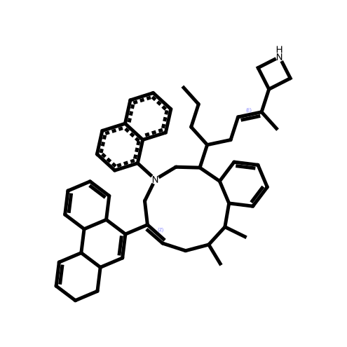 CCCC(C/C=C(\C)C1CNC1)C1CN(c2cccc3ccccc23)C/C(C2=CC3CCC=CC3C3C=CC=CC23)=C\CC(C)C(C)C2C=CC=CC21